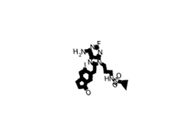 Nc1nc(F)nc2c1nc(Cc1cc3c(cc1I)CCC3=O)n2CCCNS(=O)(=O)C1CC1